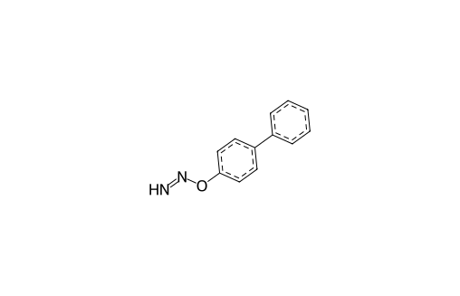 N=NOc1ccc(-c2ccccc2)cc1